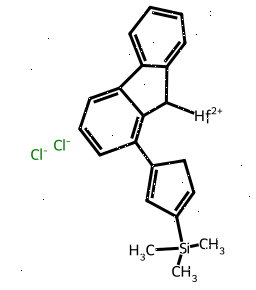 C[Si](C)(C)C1=CCC(c2cccc3c2[CH]([Hf+2])c2ccccc2-3)=C1.[Cl-].[Cl-]